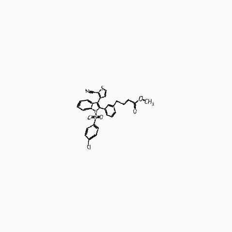 COC(=O)CCCc1cccc(-c2c(-c3ccsc3C#N)c3ccccc3n2S(=O)(=O)c2ccc(Cl)cc2)c1